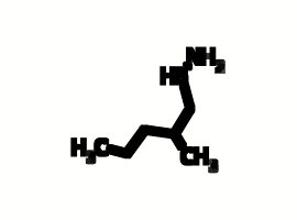 CCCC(C)CBN